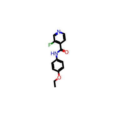 CCOc1ccc(NC(=O)c2ccncc2F)cc1